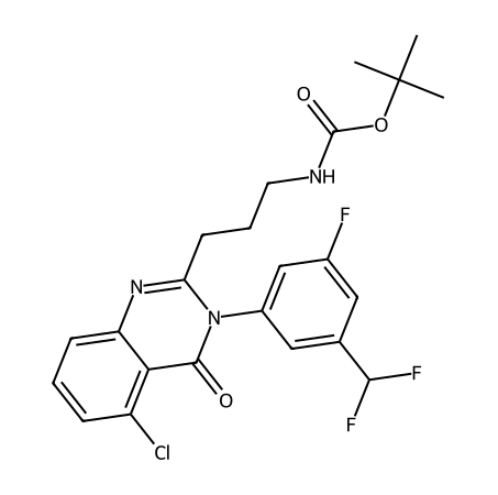 CC(C)(C)OC(=O)NCCCc1nc2cccc(Cl)c2c(=O)n1-c1cc(F)cc(C(F)F)c1